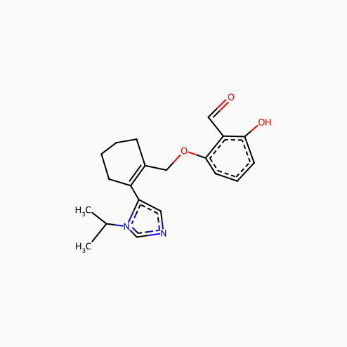 CC(C)n1cncc1C1=C(COc2cccc(O)c2C=O)CCCC1